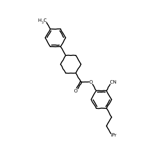 Cc1ccc(C2CCC(C(=O)Oc3ccc(CCC(C)C)cc3C#N)CC2)cc1